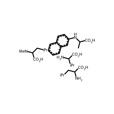 CC(C)C(N)C(=O)O.CC(C)CC(N)C(=O)O.CC(Nc1ccc2ccccc2c1)C(=O)O.CNC(CC(C)C)C(=O)O